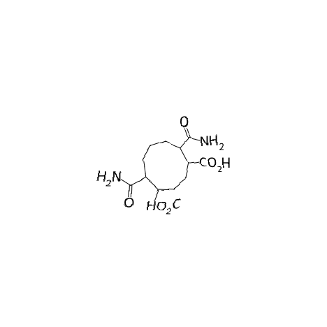 NC(=O)C1CCCC(C(N)=O)C(C(=O)O)CCC1C(=O)O